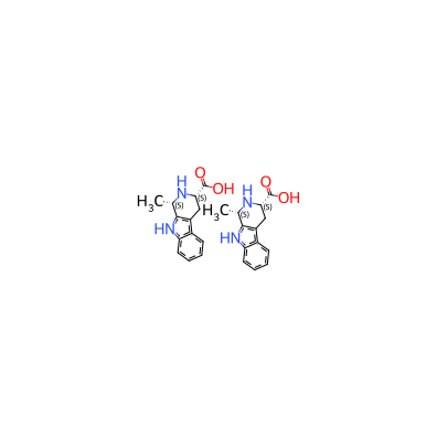 C[C@@H]1N[C@H](C(=O)O)Cc2c1[nH]c1ccccc21.C[C@@H]1N[C@H](C(=O)O)Cc2c1[nH]c1ccccc21